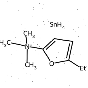 CCc1ccc([N+](C)(C)C)o1.[SnH4]